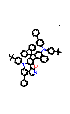 CC(C)(C)c1ccc(N(c2ccc(-c3ccccc3)cc2)c2cc3c(c4ccccc24)-c2c(cc(N(c4ccc(-c5ccccc5)cc4)c4ccc(C(C)(C)C)cc4)c4c2oc2ncccc24)C32c3ccccc3-c3ccccc32)cc1